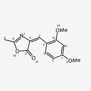 COc1ccc(C=C2N=C(C)OC2=O)c(OC)c1